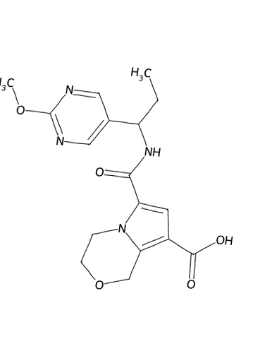 CCC(NC(=O)c1cc(C(=O)O)c2n1CCOC2)c1cnc(OC)nc1